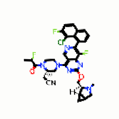 C=C(F)C(=O)N1CCN(c2nc(OC[C@@H]3[C@@H]4CC4CN3C)nc3c(F)c(-c4cccc5ccc(F)c(Cl)c45)ncc23)C[C@@H]1CC#N